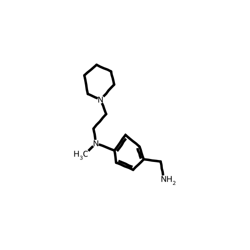 CN(CCN1CCCCC1)c1ccc(CN)cc1